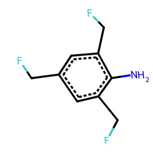 Nc1c(CF)cc(CF)cc1CF